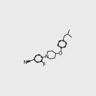 CC(C)Cc1ccc(OC2CCN(c3ccc(C#N)cc3F)CC2)cc1